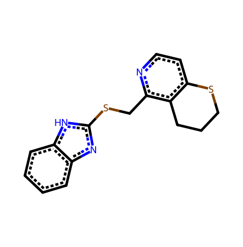 c1ccc2[nH]c(SCc3nccc4c3CCCS4)nc2c1